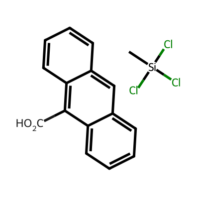 C[Si](Cl)(Cl)Cl.O=C(O)c1c2ccccc2cc2ccccc12